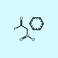 O=C(F)C[N+](=O)[O-].c1ccccc1